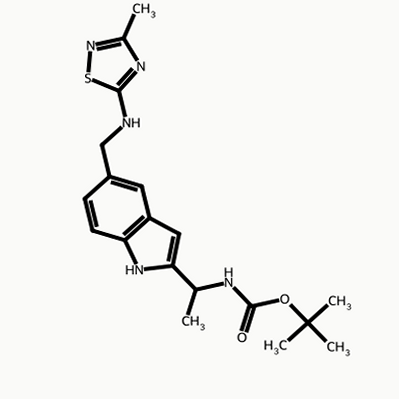 Cc1nsc(NCc2ccc3[nH]c(C(C)NC(=O)OC(C)(C)C)cc3c2)n1